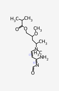 COC(COC(=O)C(C)C)CC(C)N(C)/C=C\C(N)=N/C=O